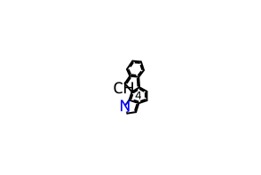 C.C1=Nc2c3c(ccc2=C1)=c1ccccc1=C3